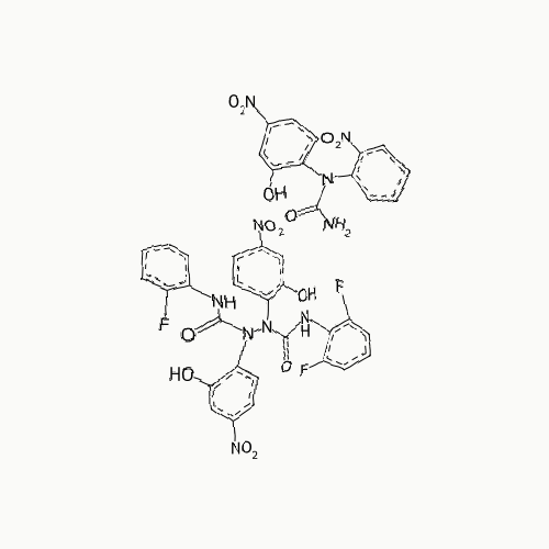 NC(=O)N(c1ccc([N+](=O)[O-])cc1O)c1ccccc1[N+](=O)[O-].O=C(Nc1ccccc1F)N(c1ccc([N+](=O)[O-])cc1O)N(C(=O)Nc1c(F)cccc1F)c1ccc([N+](=O)[O-])cc1O